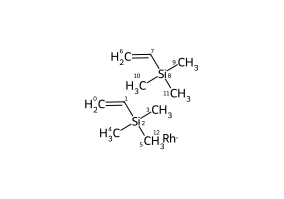 C=C[Si](C)(C)C.C=C[Si](C)(C)C.[Rh]